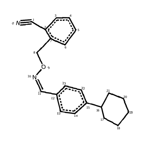 N#Cc1ccccc1CO/N=[C]\c1ccc(C2CCCCC2)cc1